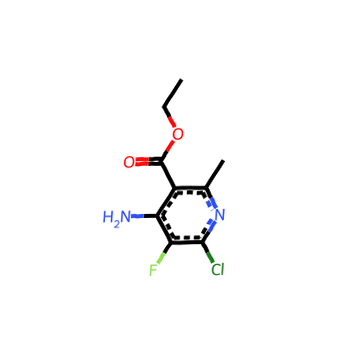 CCOC(=O)c1c(C)nc(Cl)c(F)c1N